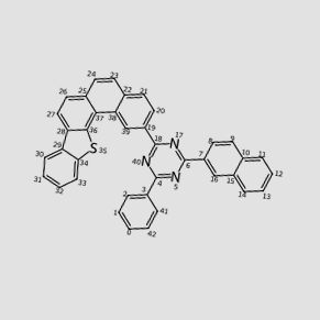 c1ccc(-c2nc(-c3ccc4ccccc4c3)nc(-c3ccc4ccc5ccc6c7ccccc7sc6c5c4c3)n2)cc1